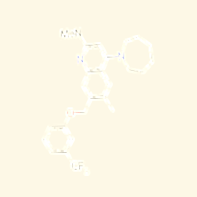 CNc1cc(N2CCCCCC2)c2cc(C)c(COc3cccc(C(F)(F)F)c3)cc2n1